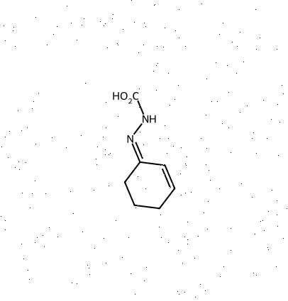 O=C(O)NN=C1C=CCCC1